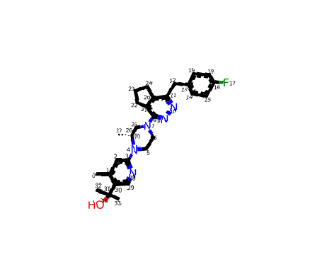 Cc1cc(N2CCN(c3nnc(Cc4ccc(F)cc4)c4c3CCC4)C[C@H]2C)ncc1C(C)(C)O